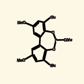 COc1cc(C(C)(C)C)c2op(OC)oc3c(C(C)(C)C)cc(OC)cc3c2c1